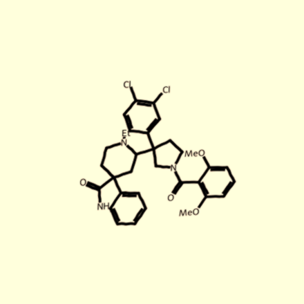 CCN1CCC(C(N)=O)(c2ccccc2)CC1C1(c2ccc(Cl)c(Cl)c2)CCN(C(=O)c2c(OC)cccc2OC)C1